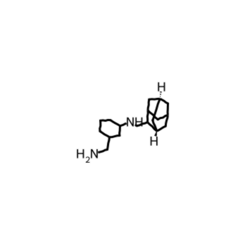 NCC1CCCC(NCC2C3CC4C[C@H](C3)C[C@@H]2C4)C1